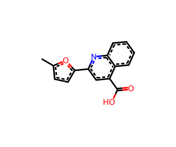 Cc1ccc(-c2cc(C(=O)O)c3ccccc3n2)o1